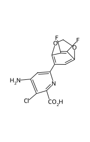 Nc1cc(-c2cc3c(F)c(F)c2OCO3)nc(C(=O)O)c1Cl